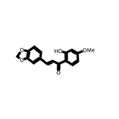 COc1ccc(C(=O)/C=C/c2ccc3c(c2)OCO3)c(O)c1